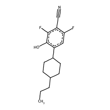 CCCC1CCC(c2cc(F)c(C#N)c(F)c2O)CC1